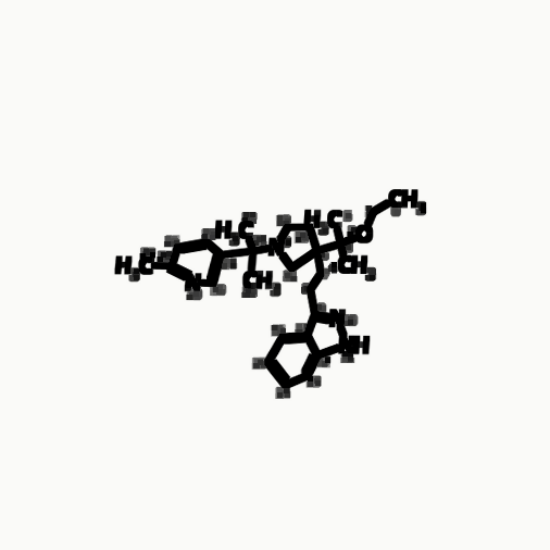 CCOC(C)(C)C1(CCc2n[nH]c3ccccc23)CCN(C(C)(C)c2ccc(C)nc2)C1